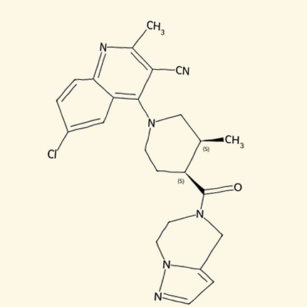 Cc1nc2ccc(Cl)cc2c(N2CC[C@H](C(=O)N3CCn4nccc4C3)[C@H](C)C2)c1C#N